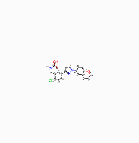 CN(Cc1cc(-c2ccn(-c3ccc4c(c3)CCCO4)n2)ccc1Cl)C(=O)O